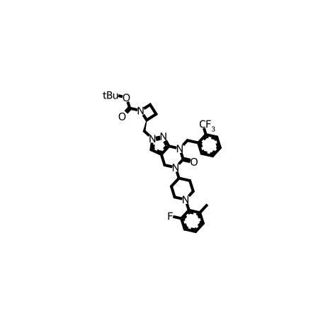 Cc1cccc(F)c1N1CCC(N2Cc3cn(C[C@@H]4CCN4C(=O)OC(C)(C)C)nc3N(Cc3ccccc3C(F)(F)F)C2=O)CC1